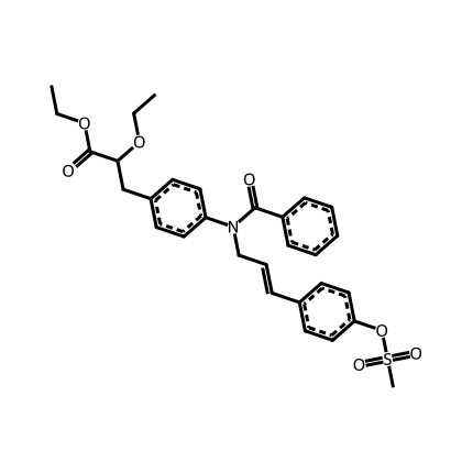 CCOC(=O)C(Cc1ccc(N(C/C=C/c2ccc(OS(C)(=O)=O)cc2)C(=O)c2ccccc2)cc1)OCC